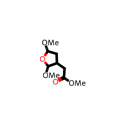 COC(=O)CC1CC(OC)OC1OC